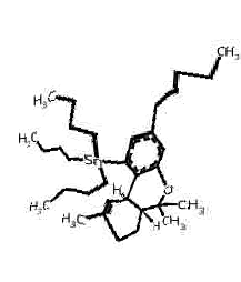 CCCCCc1cc2c([c]([Sn]([CH2]CCC)([CH2]CCC)[CH2]CCC)c1)[C@@H]1C=C(C)CC[C@H]1C(C)(C)O2